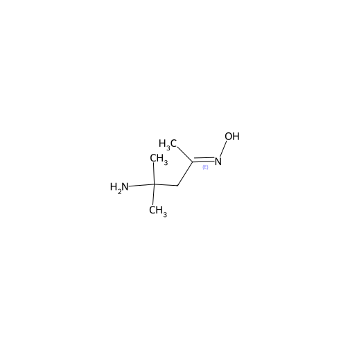 C/C(CC(C)(C)N)=N\O